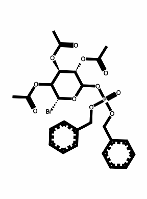 CC(=O)OC1[C@@H](OC(C)=O)[C@H](OC(C)=O)C(OP(=O)(OCc2ccccc2)OCc2ccccc2)O[C@@H]1Br